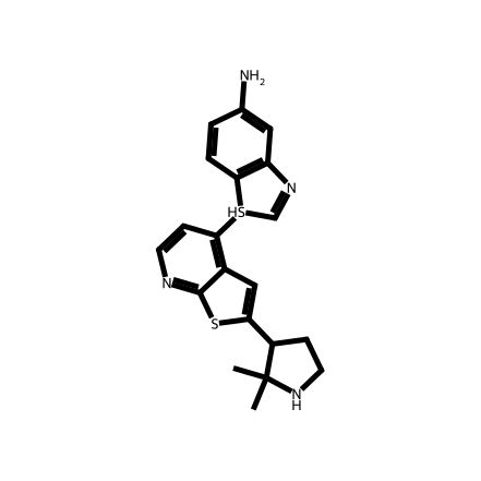 CC1(C)NCCC1c1cc2c([SH]3C=Nc4cc(N)ccc43)ccnc2s1